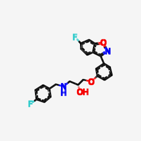 O[C@H](CNCc1ccc(F)cc1)COc1cccc(-c2noc3cc(F)ccc23)c1